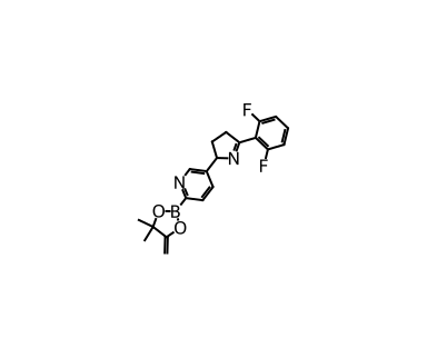 C=C1OB(c2ccc(C3CCC(c4c(F)cccc4F)=N3)cn2)OC1(C)C